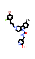 N#Cc1ccc2c(c1)c1c(n2C(=O)NCc2ccnc(O)c2)CCN(C/C=C/c2ccc(Br)cc2F)C1